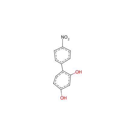 O=[N+]([O-])c1ccc(-c2ccc(O)cc2O)cc1